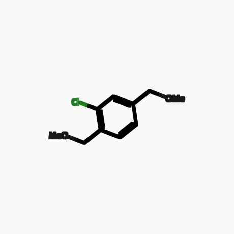 COCc1ccc(COC)c(Cl)c1